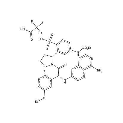 CCOC(=O)Nc1ccc(S(=O)(=O)CC)c([C@H]2CCCN2C(=O)[C@H](Nc2ccc3c(N)nccc3c2)c2cc(OCC)ccc2F)c1.O=C(O)C(F)(F)F